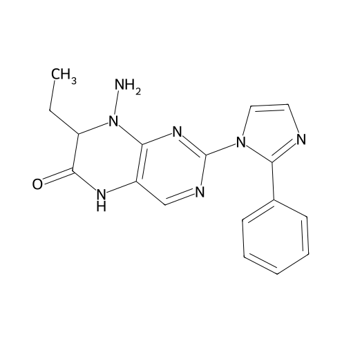 CCC1C(=O)Nc2cnc(-n3ccnc3-c3ccccc3)nc2N1N